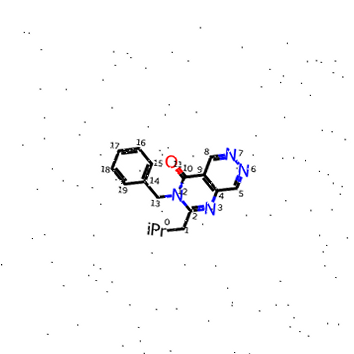 CC(C)Cc1nc2cnncc2c(=O)n1Cc1ccccc1